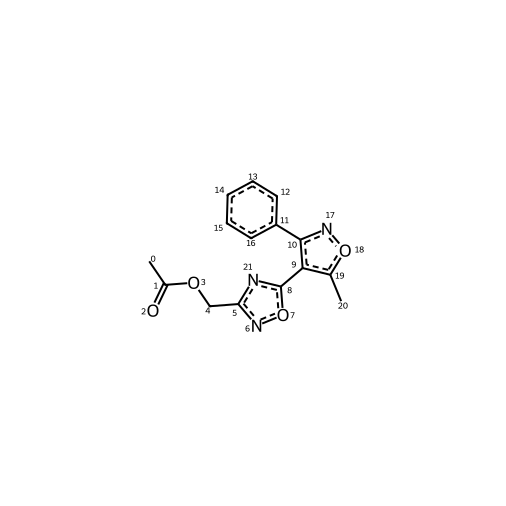 CC(=O)OCc1noc(-c2c(-c3ccccc3)noc2C)n1